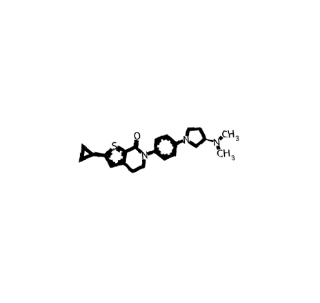 CN(C)[C@@H]1CCN(c2ccc(N3CCc4cc(C5CC5)sc4C3=O)cc2)C1